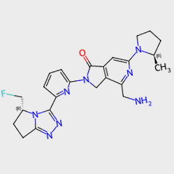 C[C@@H]1CCCN1c1cc2c(c(CN)n1)CN(c1cccc(-c3nnc4n3[C@@H](CF)CC4)n1)C2=O